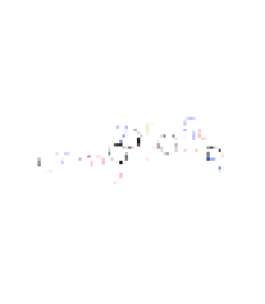 COc1cc2c(Oc3ccc(NS(=O)(=O)c4ccn(C)c4)cc3F)ccnc2cc1OCCCN1CCCCC1